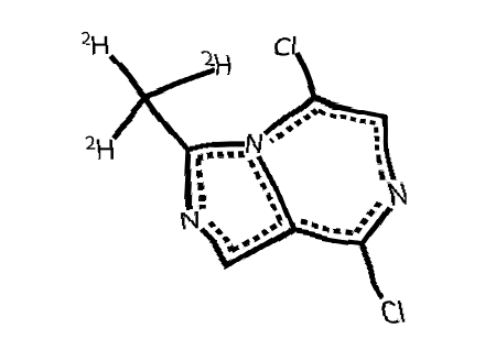 [2H]C([2H])([2H])c1ncc2c(Cl)ncc(Cl)n12